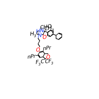 CCCC1=CC2C(COC2(C(F)(F)F)C(F)(F)F)C(CCC)=C1OCCCCN(C)C(=O)C(C)(NC=O)c1ccc(C2C=CC=CC2)cc1